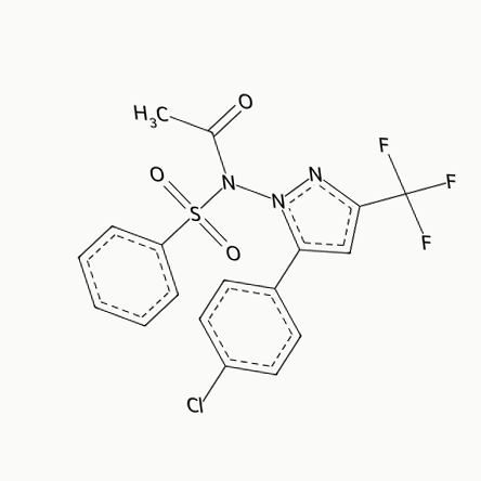 CC(=O)N(n1nc(C(F)(F)F)cc1-c1ccc(Cl)cc1)S(=O)(=O)c1ccccc1